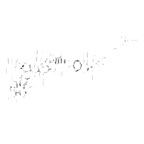 CC[C@H](C)[C@@H]([C@@H](CC(=O)N1CCC[C@H]1[C@H](OC)[C@@H](C)C(=O)N[C@@H](CC(C)C)C(=O)NOCc1ccc(NC(=O)[C@@H](C)NC(=O)CCOCCOCCC(=O)O)cc1)OC)N(C)C(=O)[C@@H](NC(=O)C(C(C)C)N(C)C)C(C)C